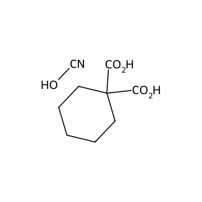 N#CO.O=C(O)C1(C(=O)O)CCCCC1